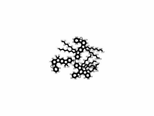 CCCCCCCCC1(CCCCCCCC)c2cc(N(c3ccc4c(c3)C(C)(C)c3cc5c(cc3-4)C(C)(C)c3ccc4oc6ccccc6c4c3-5)c3ccc4c(c3)C(CCCCCCC)(CCCCCCC)c3c5c(c6oc7ccccc7c6c3-4)-c3ccccc3C5(CCCCCCC)CCCCCCC)ccc2-c2cc3c(cc21)-c1c(ccc2oc4ccccc4c12)C3(CCCCCCCC)CCCCCCCC